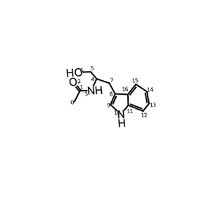 CC(=O)NC(CO)Cc1c[nH]c2ccccc12